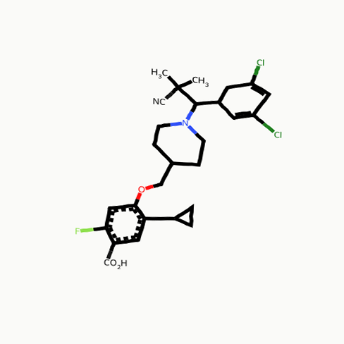 CC(C)(C#N)C(C1C=C(Cl)C=C(Cl)C1)N1CCC(COc2cc(F)c(C(=O)O)cc2C2CC2)CC1